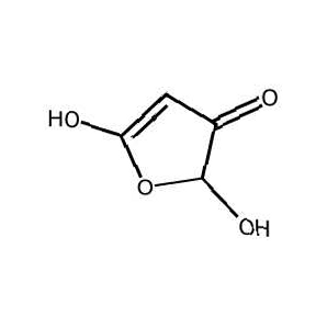 O=C1C=C(O)OC1O